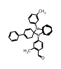 Cc1cccc(N(c2ccccc2)C2(N(c3ccccc3)c3ccc(C=O)c(C)c3)C=CC(c3ccccc3)=CC2)c1